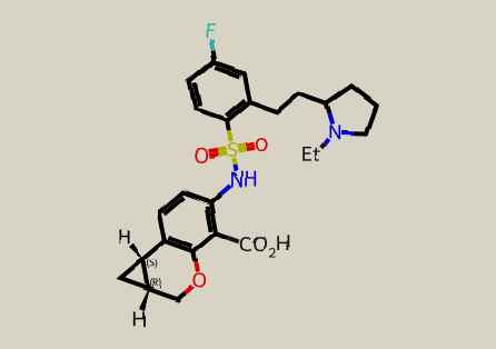 CCN1CCCC1CCc1cc(F)ccc1S(=O)(=O)Nc1ccc2c(c1C(=O)O)OC[C@@H]1C[C@H]21